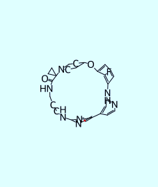 O=C1NCCCNc2ncc(cn2)-c2ccnc(c2)Nc2cccc(c2F)OC2CCN(CC2)C12CC2